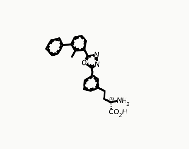 Cc1c(-c2ccccc2)cccc1-c1nnc(-c2cccc(CC[C@H](N)C(=O)O)c2)o1